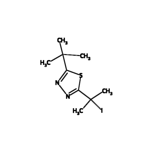 CC(C)(C)c1nnc(C(C)(C)I)s1